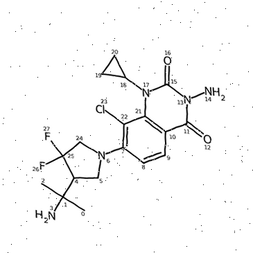 CC(C)(N)C1CN(c2ccc3c(=O)n(N)c(=O)n(C4CC4)c3c2Cl)CC1(F)F